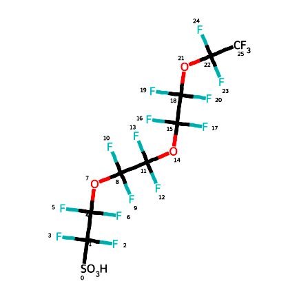 O=S(=O)(O)C(F)(F)C(F)(F)OC(F)(F)C(F)(F)OC(F)(F)C(F)(F)OC(F)(F)C(F)(F)F